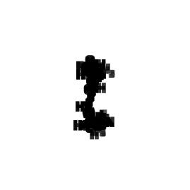 Cn1ncnc1[C@H]1c2n[nH]c(=O)c3cc(F)cc(c23)N[C@@H]1c1ccc(NC(=O)CCCCCNc2ccc(OC[C@](C)(O)C(=O)Nc3ccc(C#N)c(C(F)(F)F)c3)cc2)cc1